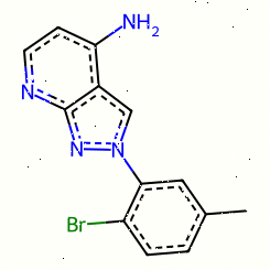 Cc1ccc(Br)c(-n2cc3c(N)ccnc3n2)c1